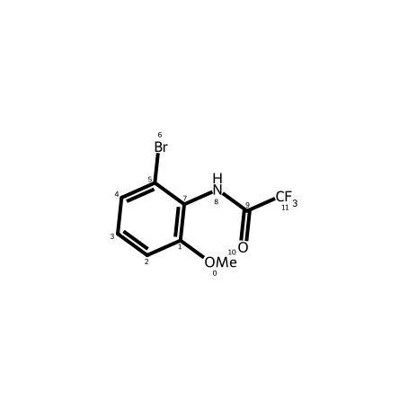 COc1cccc(Br)c1NC(=O)C(F)(F)F